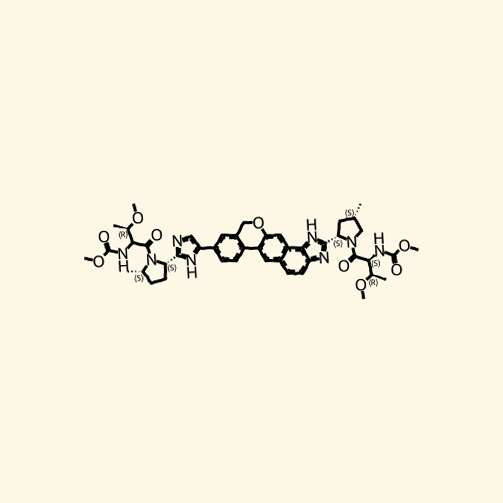 COC(=O)NC(C(=O)N1[C@@H](C)CC[C@H]1c1ncc(-c2ccc3c(c2)COc2cc4c(ccc5nc([C@@H]6C[C@H](C)CN6C(=O)[C@@H](NC(=O)OC)[C@@H](C)OC)[nH]c54)cc2-3)[nH]1)[C@@H](C)OC